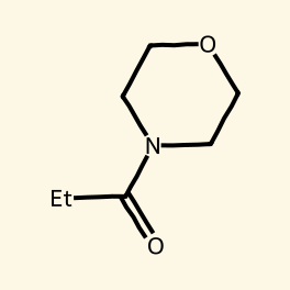 [CH2]CC(=O)N1CCOCC1